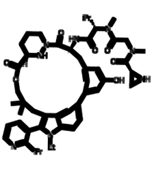 CCn1c(-c2cccnc2C(C)C)c2c3cc(ccc31)-c1cc(O)cc(c1)C[C@H](NC(=O)[C@H](C(C)C)N(C)C(=O)CN(C)C(=O)[C@@H]1CN1)C(=O)N1CCC[C@H](N1)C(=O)OCC(C)(C)C2